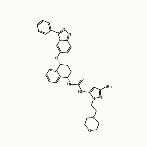 CC(C)(C)c1cc(NC(=O)N[C@H]2CC[C@@H](Oc3ccc4nnc(-c5ccccc5)n4c3)c3ccccc32)n(CCN2CCOCC2)n1